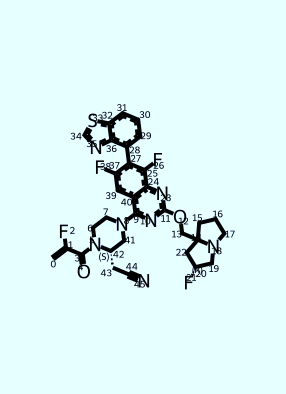 C=C(F)C(=O)N1CCN(c2nc(OCC34CCCN3C[C@H](F)C4)nc3c(F)c(-c4cccc5scnc45)c(F)cc23)C[C@@H]1CC#N